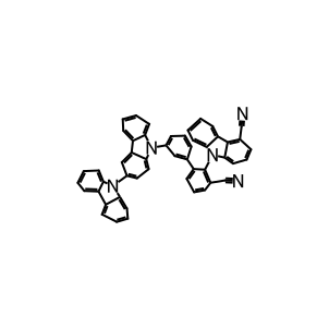 N#Cc1cccc(-c2cccc(-n3c4ccccc4c4cc(-n5c6ccccc6c6ccccc65)ccc43)c2)c1-n1c2ccccc2c2c(C#N)cccc21